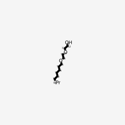 CC(C)CCCCCCOCCOCCO